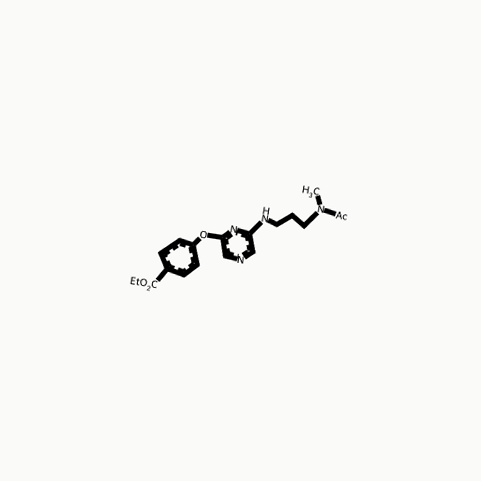 CCOC(=O)c1ccc(Oc2cncc(NCCCN(C)C(C)=O)n2)cc1